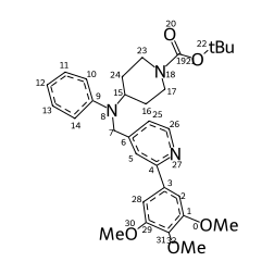 COc1cc(-c2cc(CN(c3ccccc3)C3CCN(C(=O)OC(C)(C)C)CC3)ccn2)cc(OC)c1OC